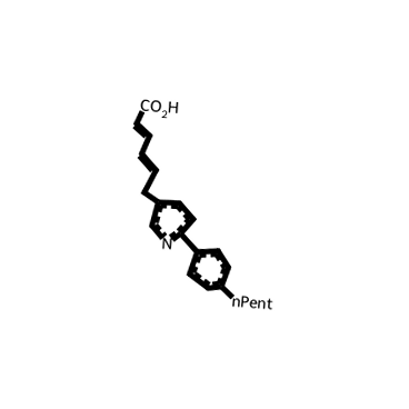 CCCCCc1ccc(-c2ccc(C/C=C/C=C/C(=O)O)cn2)cc1